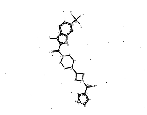 Cc1c(C(=O)N2CCN(C3CN(C(=O)c4cc[nH]c4)C3)CC2)sc2cc(C(F)(F)F)ccc12